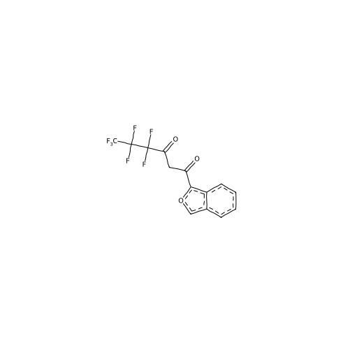 O=C(CC(=O)C(F)(F)C(F)(F)C(F)(F)F)c1occ2ccccc12